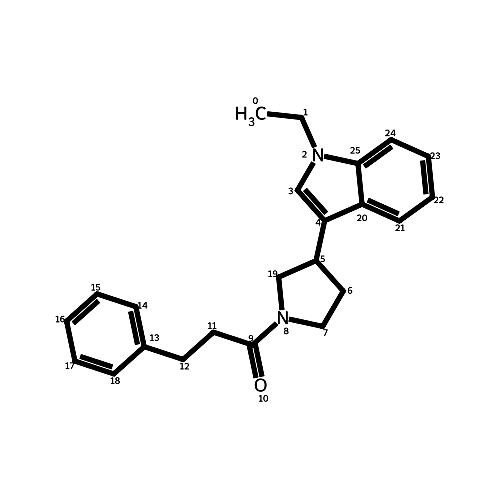 CCn1cc(C2CCN(C(=O)CCc3ccccc3)C2)c2ccccc21